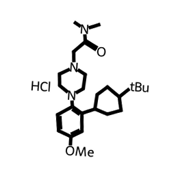 COc1ccc(N2CCN(CC(=O)N(C)C)CC2)c(C2CCC(C(C)(C)C)CC2)c1.Cl